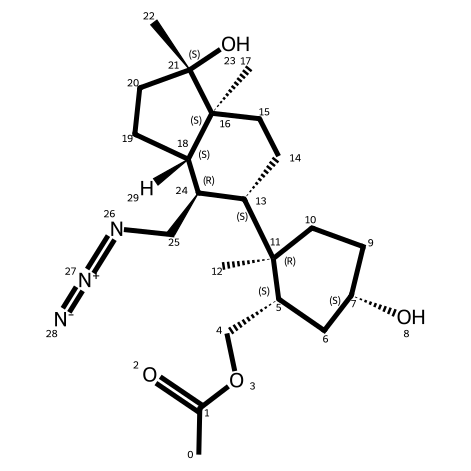 CC(=O)OC[C@H]1C[C@@H](O)CC[C@]1(C)[C@H]1CC[C@@]2(C)[C@@H](CC[C@]2(C)O)[C@@H]1CN=[N+]=[N-]